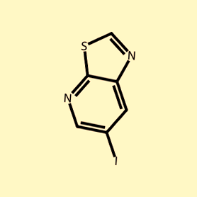 Ic1cnc2scnc2c1